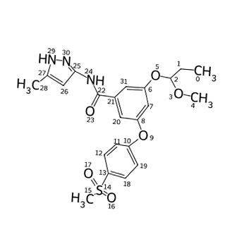 CCC(OC)Oc1cc(Oc2ccc(S(C)(=O)=O)cc2)cc(C(=O)Nc2cc(C)[nH]n2)c1